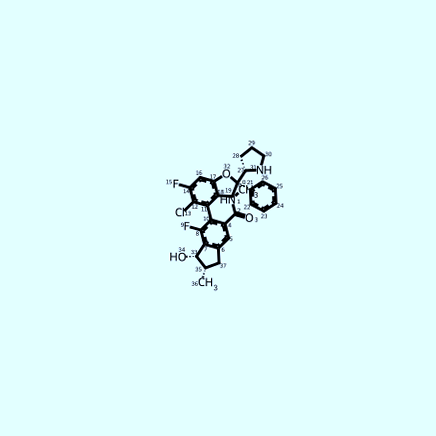 CNC(=O)c1cc2c(c(F)c1-c1c(Cl)c(F)cc3c1C[C@](c1ccccc1)([C@@H]1CCCN1)O3)[C@@H](O)[C@@H](C)C2